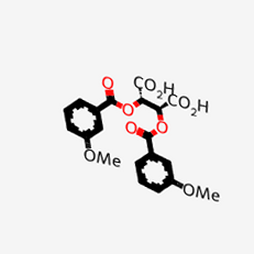 COc1cccc(C(=O)O[C@H](C(=O)O)[C@H](OC(=O)c2cccc(OC)c2)C(=O)O)c1